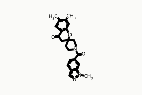 Cc1cc2c(cc1C)C(=O)CC1(CCN(C(=O)c3ccc4cnn(C)c4c3)CC1)O2